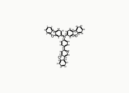 c1ccc2c(c1)oc1cc(N(c3ccc(-c4cc5oc6ccccc6c5cn4)cc3)c3ccc4c(c3)oc3ccccc34)ccc12